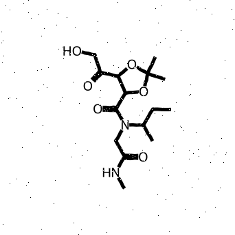 CCC(C)N(CC(=O)NC)C(=O)C1OC(C)(C)OC1C(=O)CO